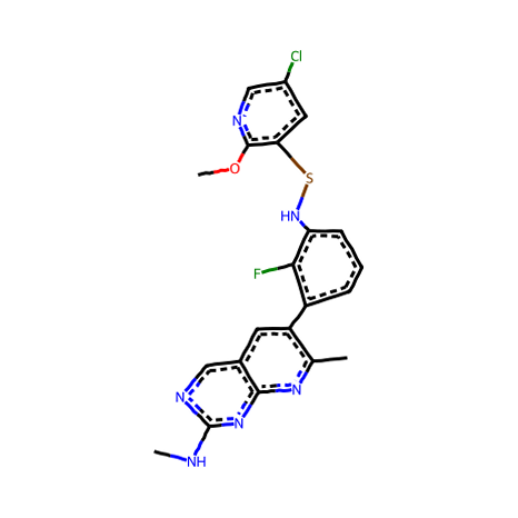 CNc1ncc2cc(-c3cccc(NSc4cc(Cl)cnc4OC)c3F)c(C)nc2n1